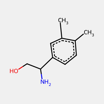 Cc1ccc(C(N)CO)cc1C